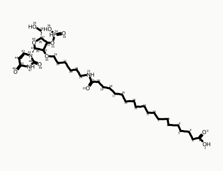 O=C(O)CCCCCCCCCCCCCCCCCCC(=O)NCCCCCCOC1C(O[PH](=O)O)[C@@H](CO)O[C@H]1n1ccc(=O)[nH]c1=O